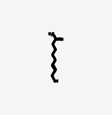 CC(=O)CCCCC=CCO